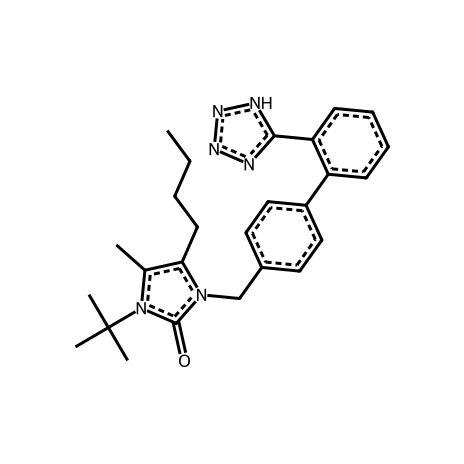 CCCCc1c(C)n(C(C)(C)C)c(=O)n1Cc1ccc(-c2ccccc2-c2nnn[nH]2)cc1